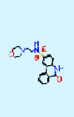 O=c1[nH]c2ccc(S(=O)(=O)NCCN3CCOCC3)cc2c2ccccc12